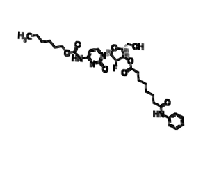 CCCCCCOC(=O)Nc1ccn([C@@H]2O[C@H](CO)[C@@H](OC(=O)CCCCCCC(=O)Nc3ccccc3)C2F)c(=O)n1